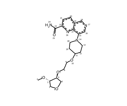 CO[C@H]1COC[C@@H]1OCCOC1CCN(c2cncc3ccc(C(N)=O)nc23)CC1